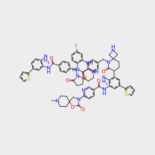 CN1CCC2(CC1)CN(c1ccc(C(=O)Nc3cc(-c4cccs4)cc(C4CCC5(CNC5)N(Cc5ccc(C(=O)Nc6ccc(F)cc6NC6CC7(CCN6)CCC(=O)N7Cc6ccc(C(=O)Nc7cc(-c8cccs8)ccc7N)cc6)cc5)C4=O)c3N)cn1)C(=O)O2